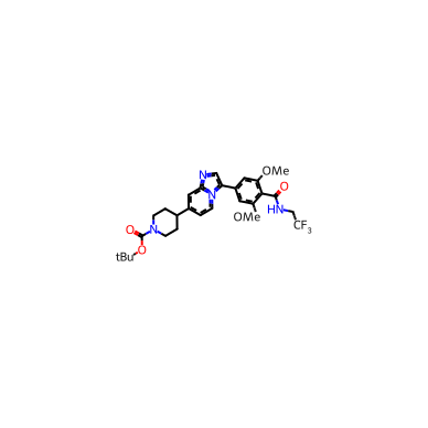 COc1cc(-c2cnc3cc(C4CCN(C(=O)OC(C)(C)C)CC4)ccn23)cc(OC)c1C(=O)NCC(F)(F)F